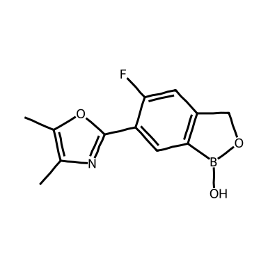 Cc1nc(-c2cc3c(cc2F)COB3O)oc1C